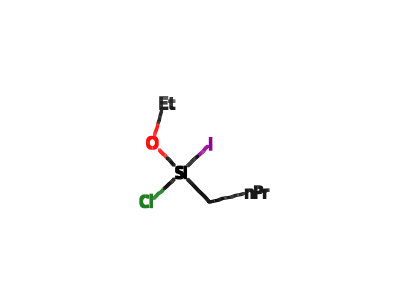 CCCC[Si](Cl)(I)OCC